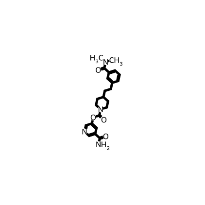 CN(C)C(=O)c1cccc(CCC2CCN(C(=O)Oc3cncc(C(N)=O)c3)CC2)c1